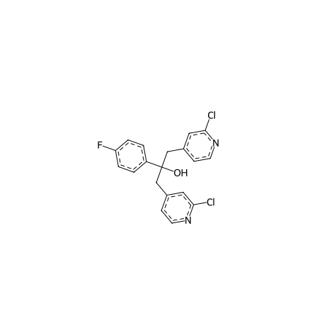 OC(Cc1ccnc(Cl)c1)(Cc1ccnc(Cl)c1)c1ccc(F)cc1